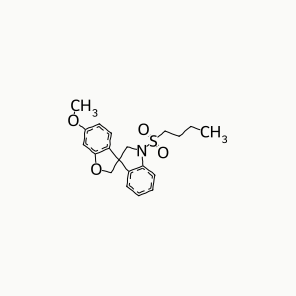 CCCCS(=O)(=O)N1CC2(COc3cc(OC)ccc32)c2ccccc21